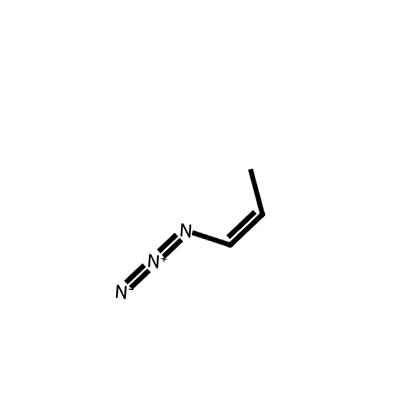 C/C=C\N=[N+]=[N-]